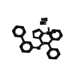 C[Si](C)(C)C1=[C]([Ti]([O]c2cccc(-c3ccccc3)c2)=[C](c2ccccc2)c2ccccc2)CC=C1.Cl.Cl